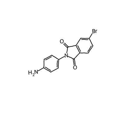 Nc1ccc(N2C(=O)c3ccc(Br)cc3C2=O)cc1